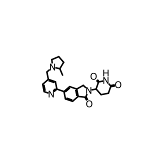 CC1CCCN1Cc1ccnc(-c2ccc3c(c2)CN(C2CCC(=O)NC2=O)C3=O)c1